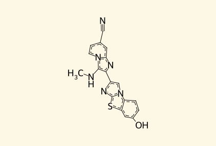 CNc1c(-c2cn3c(n2)sc2cc(O)ccc23)nc2cc(C#N)ccn12